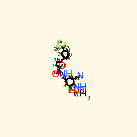 CS(=O)(=O)Nc1c(F)cc(CNC(=O)c2ccc(-c3cccc(C(F)(F)F)c3)o2)cc1C#N